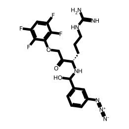 [N-]=[N+]=Nc1cccc(C(O)N[C@@H](CCCNC(=N)N)C(=O)COc2c(F)c(F)cc(F)c2F)c1